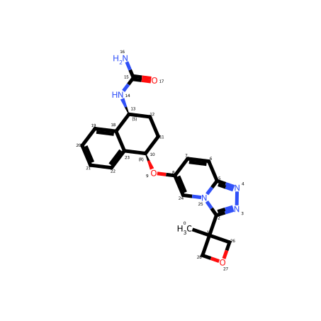 CC1(c2nnc3ccc(O[C@@H]4CC[C@H](NC(N)=O)c5ccccc54)cn23)COC1